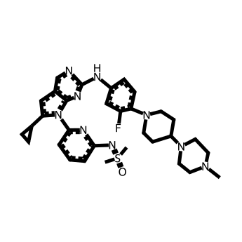 CN1CCN(C2CCN(c3ccc(Nc4ncc5cc(C6CC6)n(-c6cccc(N=S(C)(C)=O)n6)c5n4)cc3F)CC2)CC1